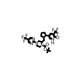 CC(C)(C)OC(=O)N1CCN(c2ncc(C(F)(F)F)cn2)CC1CC1CCCC1c1c[nH]c(=O)c(C(F)(F)F)c1